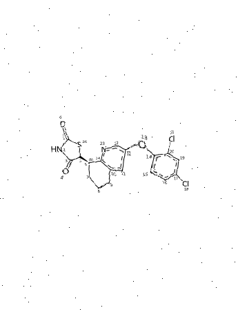 O=C1NC(=O)C([C@@H]2CCCc3cc(Oc4ccc(Cl)cc4Cl)cnc32)S1